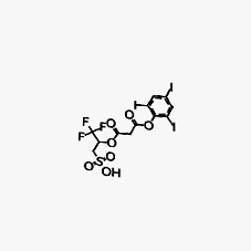 O=C(CC(=O)OC(CS(=O)(=O)O)C(F)(F)F)Oc1c(I)cc(I)cc1I